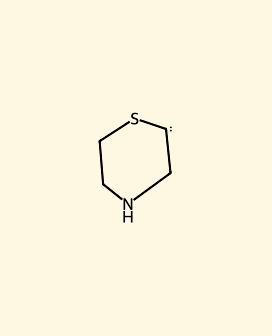 [C]1CNCCS1